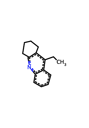 CCc1c2c(nc3ccccc13)CCCC2